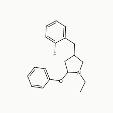 CCN1CC(Cc2ccccc2F)CC1Oc1ccccc1